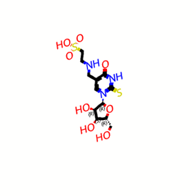 O=c1[nH]c(=S)n([C@@H]2O[C@H](CO)[C@@H](O)[C@H]2O)cc1CNCCS(=O)(=O)O